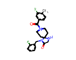 O=C(c1ccc(C(F)(F)F)c(F)c1)N1CCC2(CC1)NCC(=O)N2Cc1ccccc1F